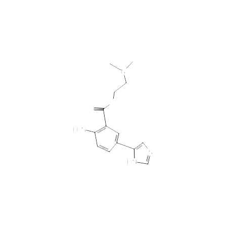 CN(C)CCOC(=O)c1cc(-c2cnc[nH]2)ccc1N